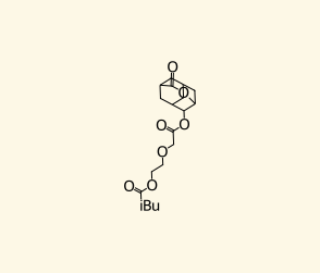 CCC(C)C(=O)OCCOCC(=O)OC1C2CC3CC(C2)C(=O)OC1C3